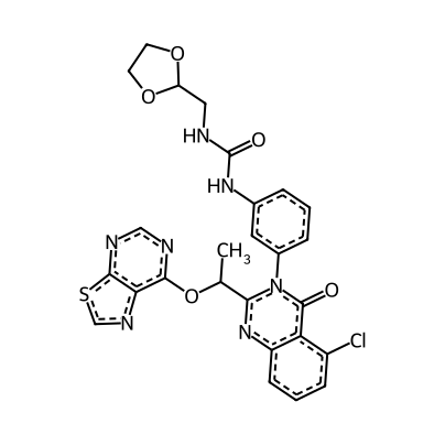 CC(Oc1ncnc2scnc12)c1nc2cccc(Cl)c2c(=O)n1-c1cccc(NC(=O)NCC2OCCO2)c1